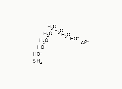 O.O.O.O.O.[Al+3].[OH-].[OH-].[OH-].[SiH4]